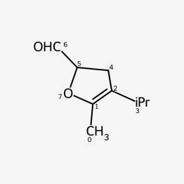 CC1=C(C(C)C)CC(C=O)O1